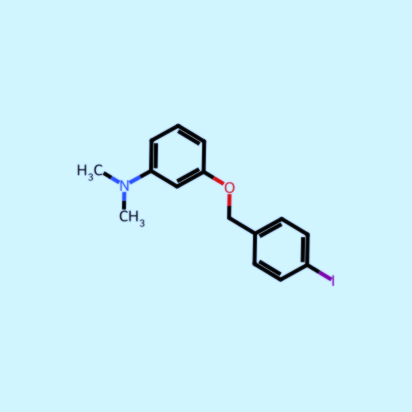 CN(C)c1cccc(OCc2ccc(I)cc2)c1